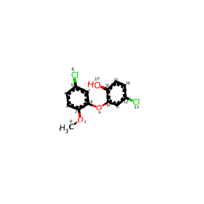 COc1ccc(Cl)cc1Oc1cc(Cl)ccc1O